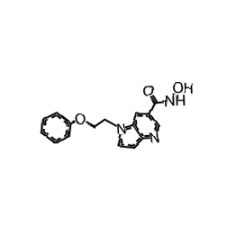 O=C(NO)c1cnc2ccn(CCOc3ccccc3)c2c1